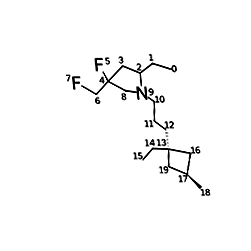 CCC1CC(F)(CF)CN1CCC[C@]1(CC)C[C@@H](C)C1